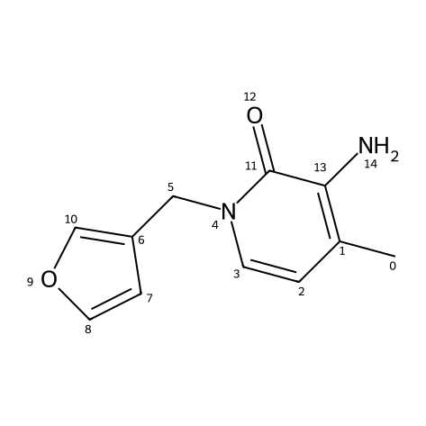 Cc1ccn(Cc2ccoc2)c(=O)c1N